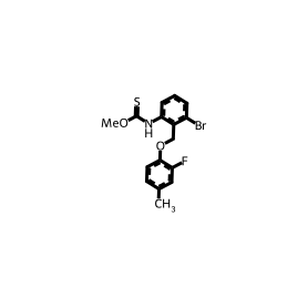 COC(=S)Nc1cccc(Br)c1COc1ccc(C)cc1F